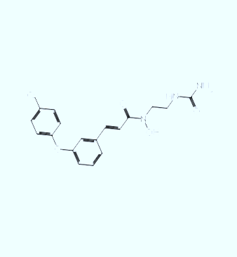 NC(=O)NCCN(O)C(=O)/C=C/c1cccc(Oc2ccc(Cl)cc2)c1